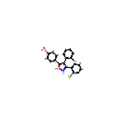 Cc1ccccc1-c1c(-c2ccccc2Cl)noc1-c1ccc(O)cc1